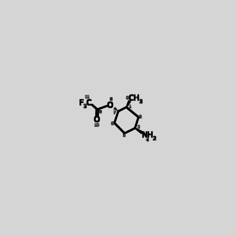 C[C@H]1C[C@@H](N)CC[C@@H]1OC(=O)C(F)(F)F